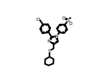 CS(=O)(=O)c1ccc(-n2cc(CSC3CCCCC3)nc2-c2ccc(Cl)cc2)cc1